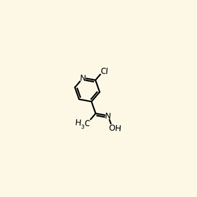 CC(=NO)c1ccnc(Cl)c1